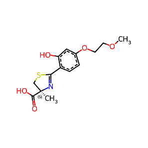 COCCOc1ccc(C2=N[C@@](C)(C(=O)O)CS2)c(O)c1